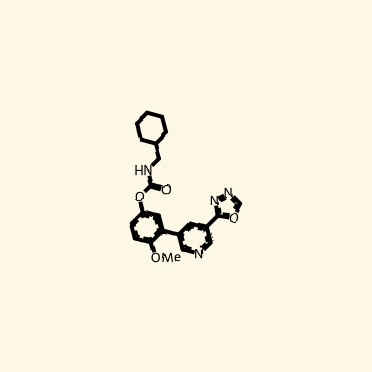 COc1ccc(OC(=O)NCC2CCCCC2)cc1-c1cncc(-c2nnco2)c1